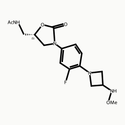 CONC1CN(c2ccc(N3C[C@H](CNC(C)=O)OC3=O)cc2F)C1